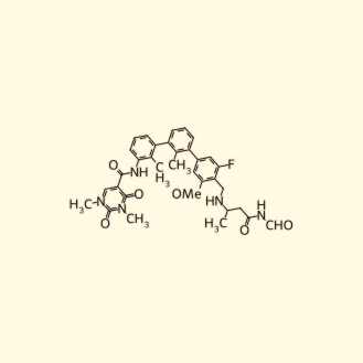 COc1cc(-c2cccc(-c3cccc(NC(=O)c4cn(C)c(=O)n(C)c4=O)c3C)c2C)cc(F)c1CNC(C)CC(=O)NC=O